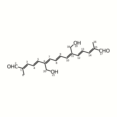 CC(C=O)=CC=CC(=CC=CC=C(C=CC=C(C)C=O)CO)CO